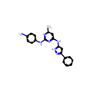 Cc1cc(Nc2cc(-c3ccccc3)n[nH]2)nc(Nc2ccc(N)cc2)n1